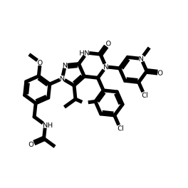 COc1ccc(CNC(C)=O)cc1-n1nc2c(c1C(C)C)C(c1ccc(Cl)cc1C)N(c1cc(Cl)c(=O)n(C)c1)C(=O)N2